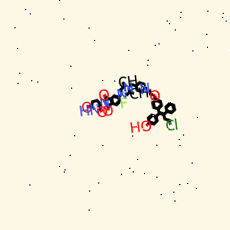 CC1CN(c2cc3c(cc2F)C(=O)N(C2CCC(=O)NC2=O)C3=O)CC(C)N1CC1CCN(CCOc2ccc(C(=C(CCCl)c3ccccc3)c3ccc(O)cc3)cc2)CC1